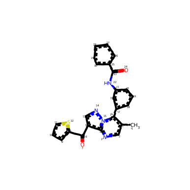 Cc1cnc2c(C(=O)c3cccs3)cnn2c1-c1cccc(NC(=O)c2ccccc2)c1